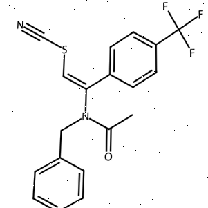 CC(=O)N(Cc1ccccc1)C(=CSC#N)c1ccc(C(F)(F)F)cc1